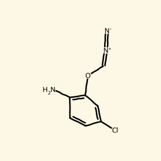 [N-]=[N+]=COc1cc(Cl)ccc1N